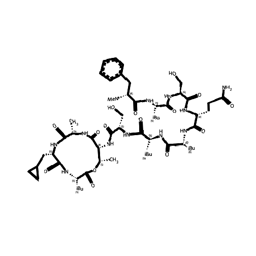 CC[C@@H](C)[C@@H](NC(=O)[C@@H](CCC(N)=O)NC(=O)[C@H](CO)NC(=O)[C@@H](NC(=O)[C@@H](Cc1ccccc1)NC)[C@@H](C)CC)C(=O)N[C@H](C(=O)N[C@@H](CO)C(=O)N[C@H]1C(=O)N[C@@H](C)C(=O)N[C@@H](CC2CC2)C(=O)N[C@@H]([C@@H](C)CC)C(=O)O[C@H]1C)[C@@H](C)CC